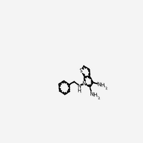 Nc1c(N)n(NCc2ccccc2)c2sccc12